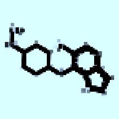 O=C(O)NC1CCC(Nc2c([N+](=O)[O-])cnc3ccsc23)CC1